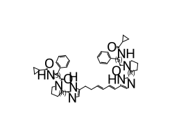 O=C(N[C@H](C(=O)N1CCC[C@@H]1c1ncc(C=CC=CCCc2cnc([C@H]3CCCN3C(=O)[C@@H](NC(=O)C3CC3)c3ccccc3)[nH]2)[nH]1)c1ccccc1)C1CC1